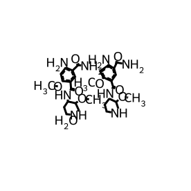 COc1cc(N)c(C(N)=O)cc1C(=O)NC1CCNCC1OC.COc1cc(N)c(C(N)=O)cc1C(=O)NC1CCNCC1OC.O